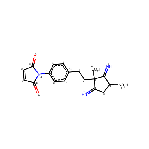 N=C1CC(S(=O)(=O)O)C(=N)C1(CCc1ccc(N2C(=O)C=CC2=O)cc1)C(=O)O